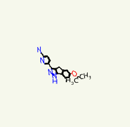 CC(C)Oc1ccc2c(c1)Cc1c(-c3ccc(C#N)nc3)n[nH]c1-2